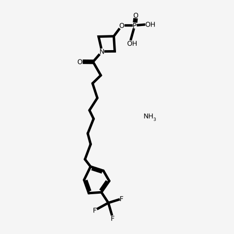 N.O=C(CCCCCCCCc1ccc(C(F)(F)F)cc1)N1CC(OP(=O)(O)O)C1